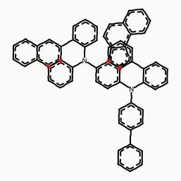 c1ccc(-c2ccc(N(c3ccccc3-c3ccccc3)c3ccc(N(c4ccccc4)c4ccccc4-c4ccc5ccccc5c4)c4c3oc3c5ccccc5ccc34)cc2)cc1